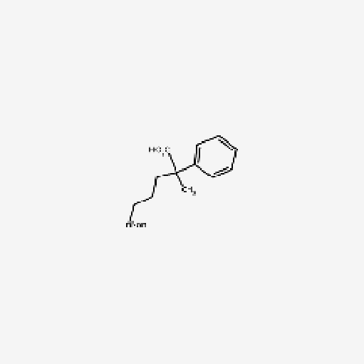 CCCCCCCCCCCCC(C)(C(=O)O)c1ccccc1